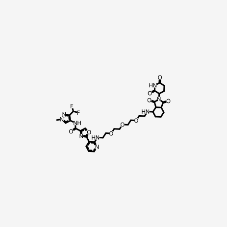 Cn1cc(NC(=O)c2coc(-c3cccnc3NCCOCCOCCOCCNC3CCCC4C(=O)N(C5CCC(=O)NC5=O)C(=O)C34)n2)c(C(F)F)n1